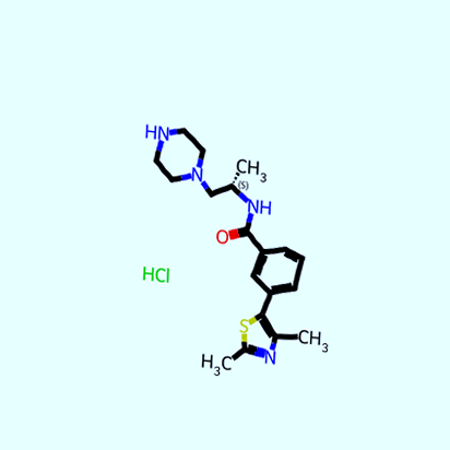 Cc1nc(C)c(-c2cccc(C(=O)N[C@@H](C)CN3CCNCC3)c2)s1.Cl